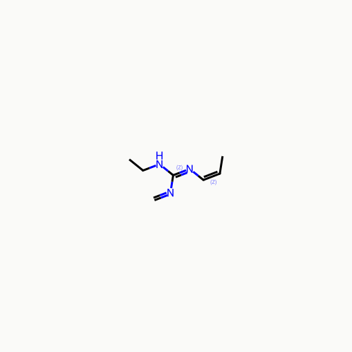 C=N/C(=N\C=C/C)NCC